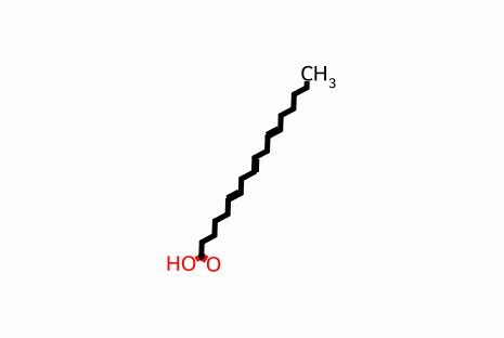 CCCCC/C=C/C/C=C/C/C=C/CCCCC(=O)O